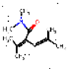 CC(C)=CC(C(=O)N(C)C)=C(C)C